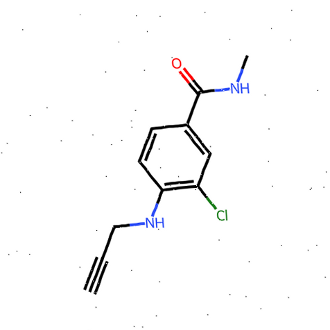 C#CCNc1ccc(C(=O)NC)cc1Cl